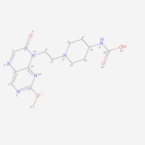 COc1ncc2ncc(=O)n(CCN3CCC(NC(=O)O)CC3)c2n1